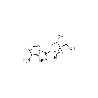 Nc1ncnc2c1ncn2[C@H]1C[C@H](O)[C@]2(CO)C[C@H]12